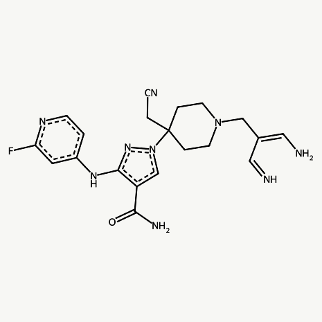 N#CCC1(n2cc(C(N)=O)c(Nc3ccnc(F)c3)n2)CCN(C/C(C=N)=C/N)CC1